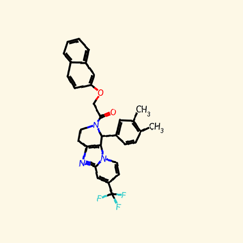 Cc1ccc(C2c3c(nc4cc(C(F)(F)F)ccn34)CCN2C(=O)COc2ccc3ccccc3c2)cc1C